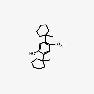 CC1(c2cc(C(=O)O)c(C3(C)CCCCC3)cc2O)CCCCC1